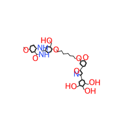 COc1ccc2c(c1)C(=O)NC(c1ccc(OCCCCCCCOc3cc(-c4cc(-c5cc(CO)c(CO)c(CO)c5)no4)ccc3OC)c(CO)c1)N2